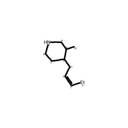 CC/C=C\CC1CCNCC1C